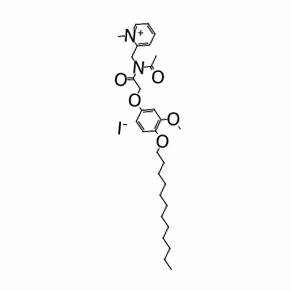 CCCCCCCCCCCCOc1ccc(OCC(=O)N(Cc2cccc[n+]2C)C(C)=O)cc1OC.[I-]